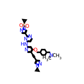 CN(C)CC1CCC(COc2cc(Nc3ccnc(-c4cnn(S(=O)(=O)C5CC5)c4)n3)ncc2C#Cc2cnn(C3CC3)c2)CC1